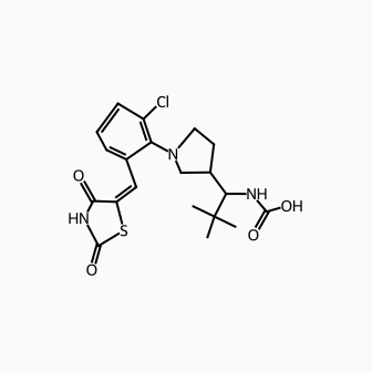 CC(C)(C)C(NC(=O)O)C1CCN(c2c(Cl)cccc2C=C2SC(=O)NC2=O)C1